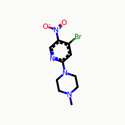 CN1CCN(c2cc(Br)c([N+](=O)[O-])cn2)CC1